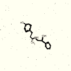 C[C@@H](CCc1ccc(O)cc1)NCC(O)c1ccccc1